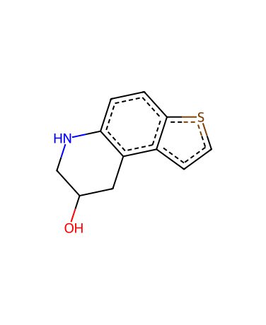 OC1CNc2ccc3sccc3c2C1